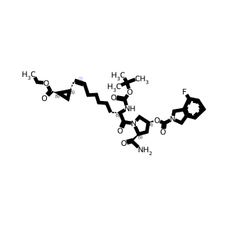 CCOC(=O)[C@H]1C[C@H]1/C=C\CCCCC[C@H](NC(=O)OC(C)(C)C)C(=O)N1C[C@H](OC(=O)N2Cc3cccc(F)c3C2)C[C@H]1C(N)=O